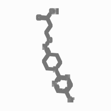 O=C(O)CCON=C1CCN(c2ncc(Br)cn2)CC1